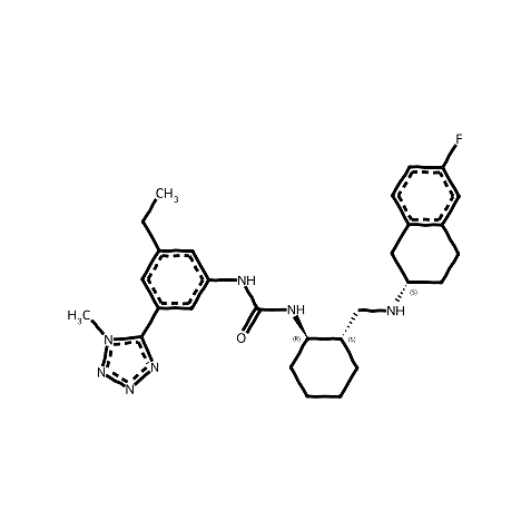 CCc1cc(NC(=O)N[C@@H]2CCCC[C@H]2CN[C@H]2CCc3cc(F)ccc3C2)cc(-c2nnnn2C)c1